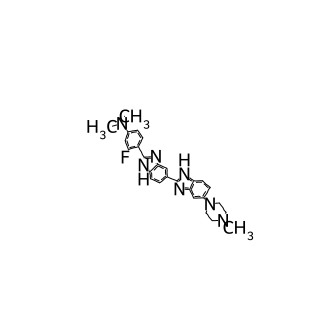 CN1CCN(c2ccc3[nH]c(-c4ccc5[nH]c(-c6ccc(N(C)C)cc6F)nc5c4)nc3c2)CC1